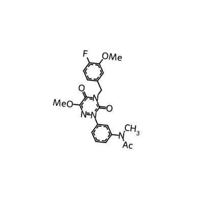 COc1cc(Cn2c(=O)c(OC)nn(-c3cccc(N(C)C(C)=O)c3)c2=O)ccc1F